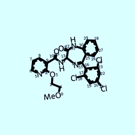 COCCOc1ncccc1C(=O)NC1N=C(c2c(Cl)cc(Cl)cc2Cl)c2ccccc2NC1=O